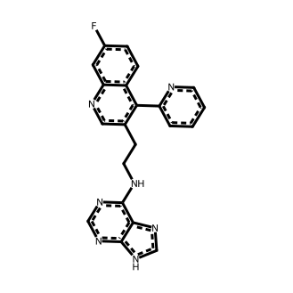 Fc1ccc2c(-c3ccccn3)c(CCNc3ncnc4[nH]cnc34)cnc2c1